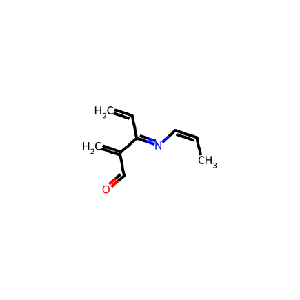 C=C/C(=N\C=C/C)C(=C)C=O